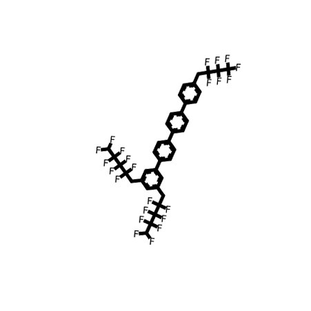 FC(F)C(F)(F)C(F)(F)C(F)(F)Cc1cc(CC(F)(F)C(F)(F)C(F)(F)C(F)F)cc(-c2ccc(-c3ccc(-c4ccc(CC(F)(F)C(F)(F)C(F)(F)F)cc4)cc3)cc2)c1